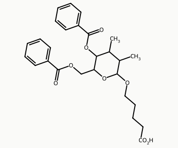 CC1C(OCCCCC(=O)O)OC(COC(=O)c2ccccc2)C(OC(=O)c2ccccc2)C1C